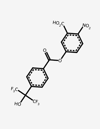 O=C(Oc1ccc([N+](=O)[O-])c(C(=O)O)c1)c1ccc(C(O)(C(F)(F)F)C(F)(F)F)cc1